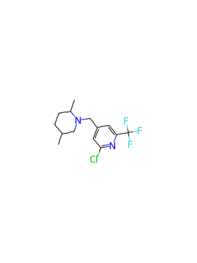 CC1CCC(C)N(Cc2cc(Cl)nc(C(F)(F)F)c2)C1